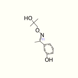 C/C(=N\OCC(C)(C)O)c1cccc(O)c1